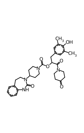 Cc1cc(CC(OC(=O)N2CCC(N3CCc4ccccc4NC3=O)CC2)C(=O)N2CCC(=O)CC2)cc(C)c1O